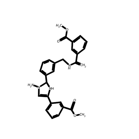 C=C(NCc1cccc(C2NC(c3cccc(C(=O)OC)c3)=CN2N)c1)c1cccc(C(=O)OC)c1